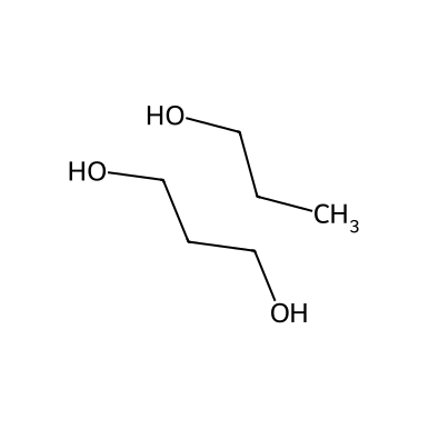 CCCO.OCCCO